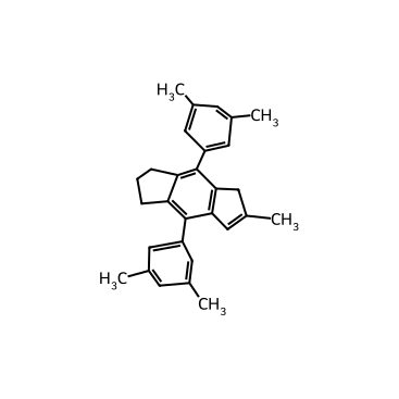 CC1=Cc2c(c(-c3cc(C)cc(C)c3)c3c(c2-c2cc(C)cc(C)c2)CCC3)C1